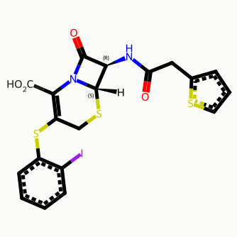 O=C(Cc1cccs1)N[C@@H]1C(=O)N2C(C(=O)O)=C(Sc3ccccc3I)CS[C@@H]12